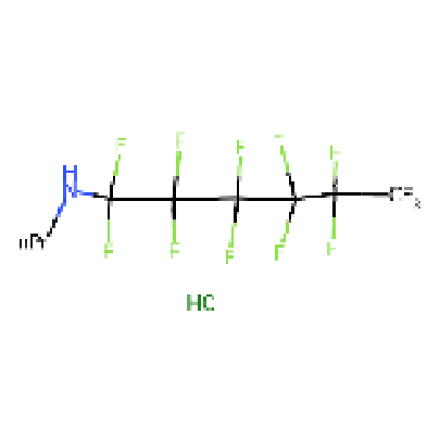 CCCNC(F)(F)C(F)(F)C(F)(F)C(F)(F)C(F)(F)C(F)(F)F.Cl